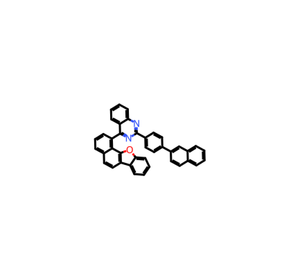 c1ccc2cc(-c3ccc(-c4nc(-c5cccc6ccc7c8ccccc8oc7c56)c5ccccc5n4)cc3)ccc2c1